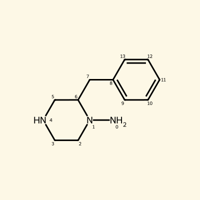 NN1CCNCC1Cc1ccccc1